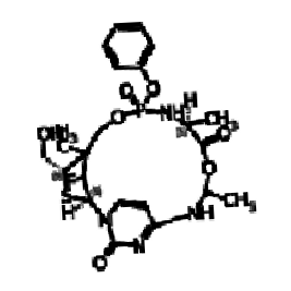 CC1Nc2ccn(c(=O)n2)[C@H]2S[C@H](CO)C(C)(COP(=O)(Oc3ccccc3)N[C@@H](C)C(=O)O1)C2F